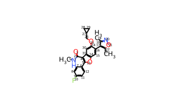 CNC(=O)c1c(-c2ccc(F)cc2)oc2cc(-c3c(C)noc3C)c(OCC3CC3)cc12